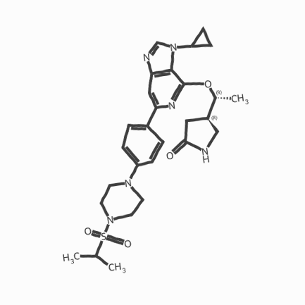 CC(C)S(=O)(=O)N1CCN(c2ccc(-c3cc4ncn(C5CC5)c4c(O[C@H](C)[C@H]4CNC(=O)C4)n3)cc2)CC1